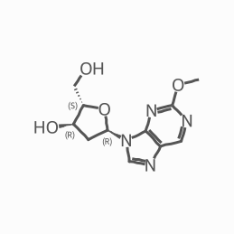 COc1ncc2ncn([C@H]3C[C@@H](O)[C@H](CO)O3)c2n1